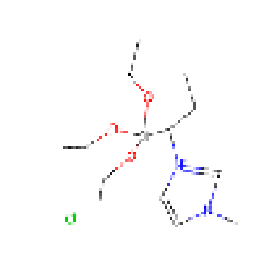 CCO[Si](OCC)(OCC)C(CC)[n+]1ccn(C)c1.[Cl-]